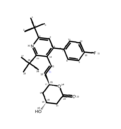 CC(C)(C)c1cc(-c2ccc(F)cc2)c(/C=C/[C@@H]2C[C@@H](O)CC(=O)O2)c(C(C)(C)C)n1